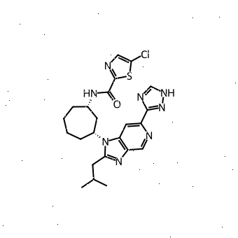 CC(C)Cc1nc2cnc(-c3nc[nH]n3)cc2n1[C@@H]1CCCC[C@H](NC(=O)c2ncc(Cl)s2)C1